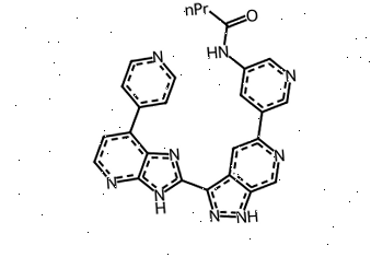 CCCC(=O)Nc1cncc(-c2cc3c(-c4nc5c(-c6ccncc6)ccnc5[nH]4)n[nH]c3cn2)c1